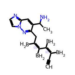 B/C(C#C)=C(B)/C(B)=C(/B)Cc1nn2ccnc2cc1C(C)N